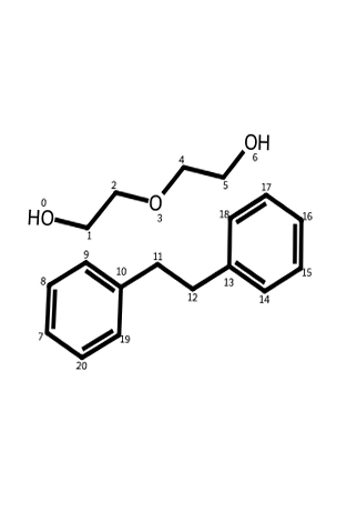 OCCOCCO.c1ccc(CCc2ccccc2)cc1